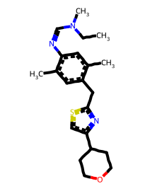 CCN(C)/C=N\c1cc(C)c(Cc2nc(C3CCOCC3)cs2)cc1C